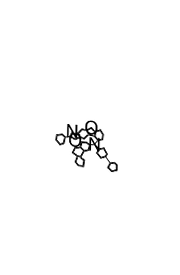 c1ccc(-c2ccc(N(c3ccc4ccc5ccccc5c4c3)c3cccc4oc5cc6nc(-c7ccccc7)oc6cc5c34)cc2)cc1